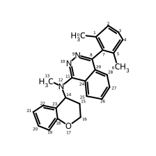 Cc1cccc(C)c1-c1nnc(N(C)C2CCOc3ccccc32)c2ccccc12